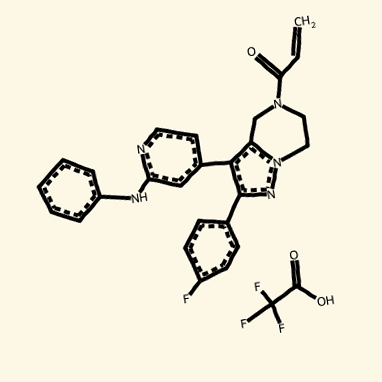 C=CC(=O)N1CCn2nc(-c3ccc(F)cc3)c(-c3ccnc(Nc4ccccc4)c3)c2C1.O=C(O)C(F)(F)F